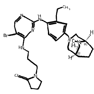 CCc1cc(N2C[C@H]3CC[C@@H](C2)N3C)ccc1Nc1ncc(Br)c(NCCCN2CCCC2=O)n1